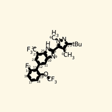 Cc1c(C(C)(C)C)nn(C)c1-c1nc2cc(-c3c(F)cccc3OC(F)(F)F)cc(C(F)(F)F)c2[nH]1